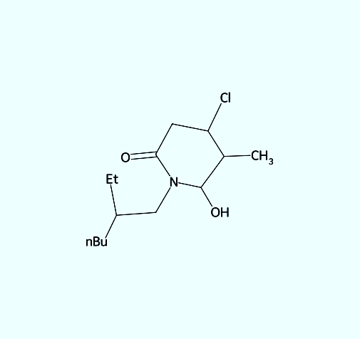 CCCCC(CC)CN1C(=O)CC(Cl)C(C)C1O